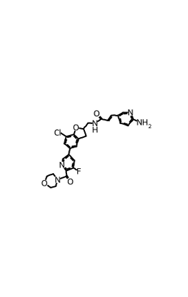 Nc1ccc(/C=C/C(=O)NCC2Cc3cc(-c4cnc(C(=O)N5CCOCC5)c(F)c4)cc(Cl)c3O2)cn1